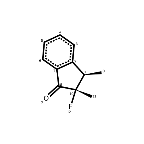 C[C@@H]1c2ccccc2C(=O)[C@@]1(C)F